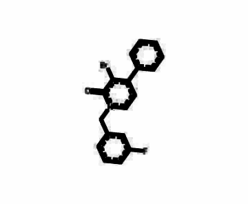 O=c1c(Br)c(-c2ccccc2)ccn1Cc1cccc(F)c1